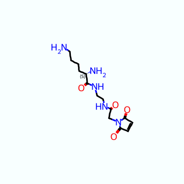 NCCCC[C@H](N)C(=O)NCCNC(=O)CN1C(=O)C=CC1=O